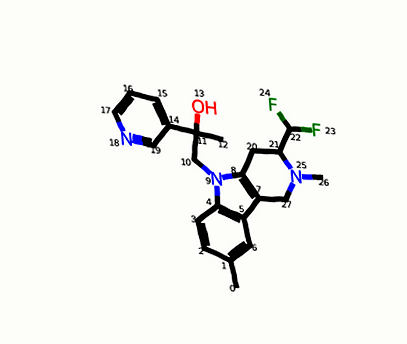 Cc1ccc2c(c1)c1c(n2CC(C)(O)c2cccnc2)CC(C(F)F)N(C)C1